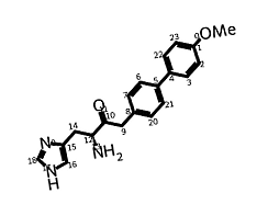 COc1ccc(-c2ccc(CC(=O)[C@@H](N)Cc3c[nH]cn3)cc2)cc1